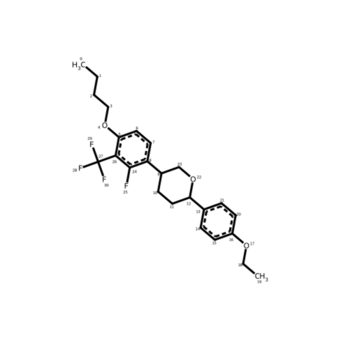 CCCCOc1ccc(C2CCC(c3ccc(OCC)cc3)OC2)c(F)c1C(F)(F)F